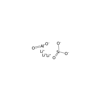 O=[Si]([O-])[O-].[Li+].[Li+].[Li+].[O]=[Al][O-]